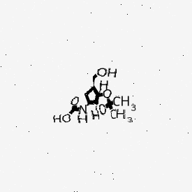 CC1(C)O[C@@H]2[C@H](CO)C[C@@H](NC(=O)O)[C@@H]2O1